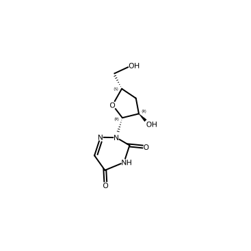 O=c1cnn([C@@H]2O[C@H](CO)C[C@H]2O)c(=O)[nH]1